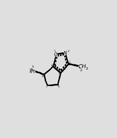 Cc1noc2c1CCC2C(C)C